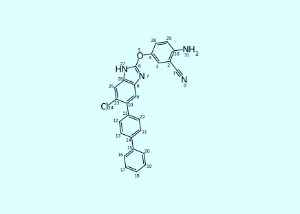 N#Cc1cc(Oc2nc3cc(-c4ccc(-c5ccccc5)cc4)c(Cl)cc3[nH]2)ccc1N